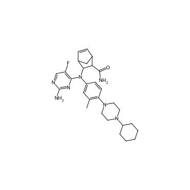 Cc1cc(N(c2nc(N)ncc2F)C2C3C=CC(C3)C2C(N)=O)ccc1N1CCN(C2CCCCC2)CC1